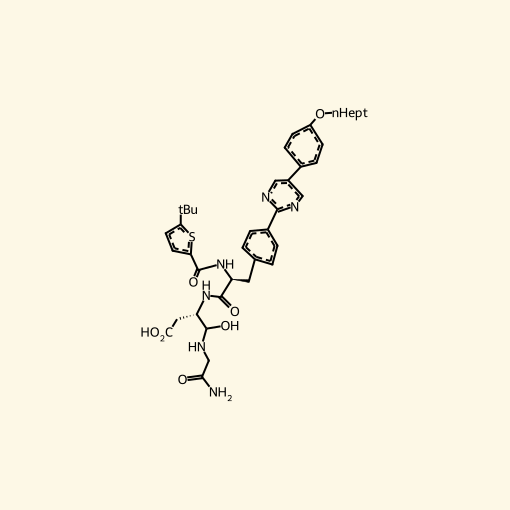 CCCCCCCOc1ccc(-c2cnc(-c3ccc(C[C@H](NC(=O)c4ccc(C(C)(C)C)s4)C(=O)N[C@@H](CC(=O)O)C(O)NCC(N)=O)cc3)nc2)cc1